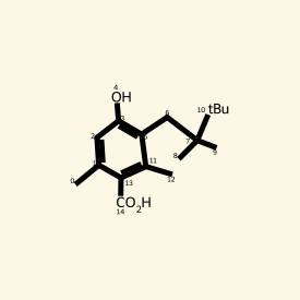 Cc1cc(O)c(CC(C)(C)C(C)(C)C)c(C)c1C(=O)O